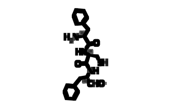 N[C@@H](Cc1ccccc1)C(=O)N[C@@H](CS)C(=O)N[C@H]([C]=O)Cc1ccccc1